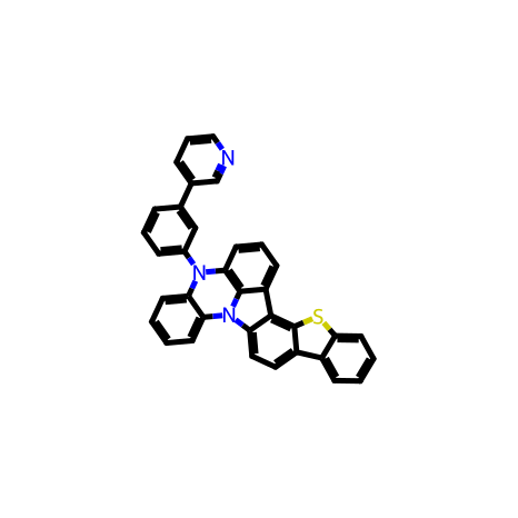 c1cncc(-c2cccc(N3c4ccccc4-n4c5ccc6c7ccccc7sc6c5c5cccc3c54)c2)c1